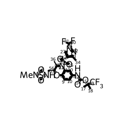 CNS(=O)(=O)NC[C@@H]1Oc2ccc(NC(=O)OC(C)(C)C(F)(F)F)cc2N(S(=O)(=O)c2cn(C(F)F)nc2C)[C@@H]1C